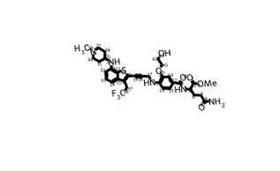 COC(=O)C(CCC(N)=O)NC(=O)c1ccc(NCC#Cc2sc3c(NC4CCN(C)CC4)cccc3c2CC(F)(F)F)c(OCCO)c1